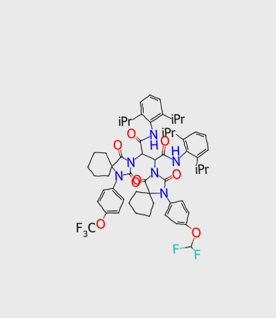 CC(C)c1cccc(C(C)C)c1NC(=O)C(C(C(=O)Nc1c(C(C)C)cccc1C(C)C)N1C(=O)N(c2ccc(OC(F)(F)F)cc2)C2(CCCCC2)C1=O)N1C(=O)N(c2ccc(OC(F)F)cc2)C2(CCCCC2)C1=O